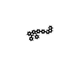 c1ccc(-c2nc3c(ccc4c5ccc(-c6ccc(-c7ccc8ccc9cccnc9c8n7)cc6)cc5n(-c5ccccc5)c43)c3ccccc23)cc1